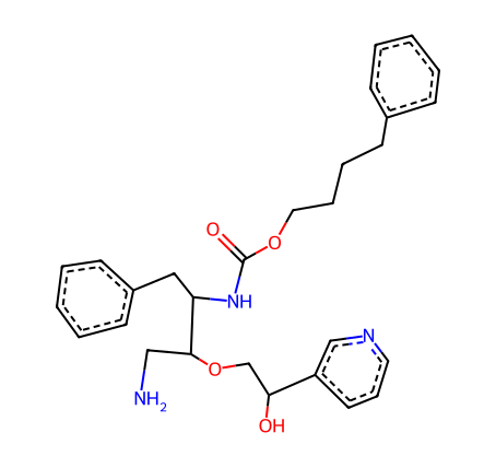 NCC(OCC(O)c1cccnc1)C(Cc1ccccc1)NC(=O)OCCCCc1ccccc1